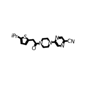 CC(C)c1ccc(CC(=O)N2CCN(c3cnc(C#N)cn3)CC2)s1